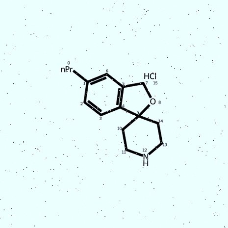 CCCc1ccc2c(c1)COC21CCNCC1.Cl